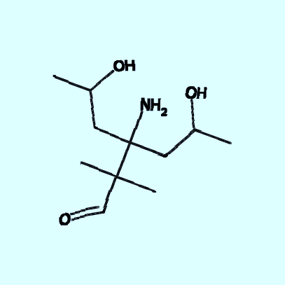 CC(O)CC(N)(CC(C)O)C(C)(C)C=O